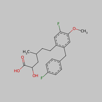 COc1cc(Cc2ccc(F)cc2)c(CCC(C)CC(O)C(=O)O)cc1F